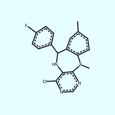 Cc1ccc2c(c1)C(c1ccc(F)cc1)Nc1c(Cl)ncnc1N2C